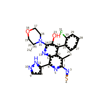 Cc1c(N=S)nc(-c2ccn[nH]2)c2nc(N3CCOC[C@H]3C)c(O)c(-c3ccccc3F)c12